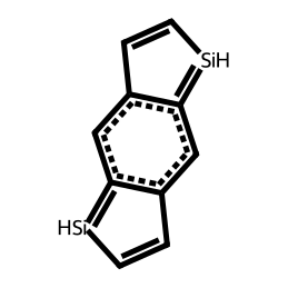 C1=Cc2cc3c(cc2=[SiH]1)C=C[SiH]=3